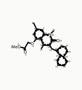 COC(=O)COc1cc(C)cc2c1c(C)c(Cc1cccc3ccccc13)c(=O)n2C